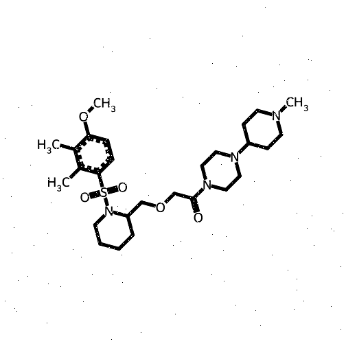 COc1ccc(S(=O)(=O)N2CCCCC2COCC(=O)N2CCN(C3CCN(C)CC3)CC2)c(C)c1C